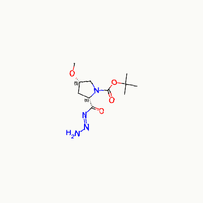 CO[C@H]1C[C@@H](C(=O)N=NN)N(C(=O)OC(C)(C)C)C1